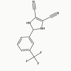 N#CC1=C(C#N)NC(c2cccc(C(F)(F)F)c2)N1